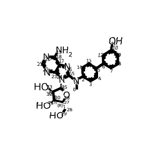 CN(c1ccc(-c2cccc(O)c2)cc1)c1nc2c(N)ncnc2n1[C@@H]1O[C@H](CO)[C@@H](O)[C@H]1O